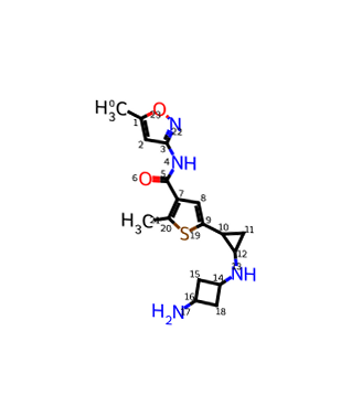 Cc1cc(NC(=O)c2cc(C3CC3NC3CC(N)C3)sc2C)no1